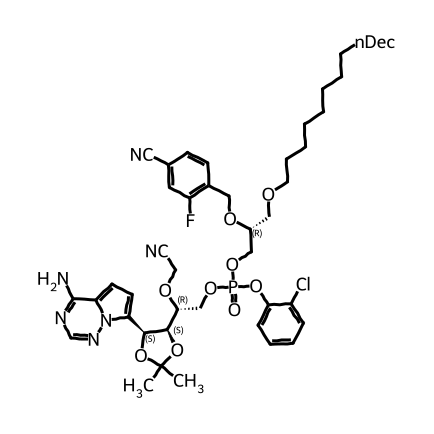 CCCCCCCCCCCCCCCCCCOC[C@H](COP(=O)(OC[C@@H](OCC#N)[C@H]1OC(C)(C)O[C@H]1c1ccc2c(N)ncnn12)Oc1ccccc1Cl)OCc1ccc(C#N)cc1F